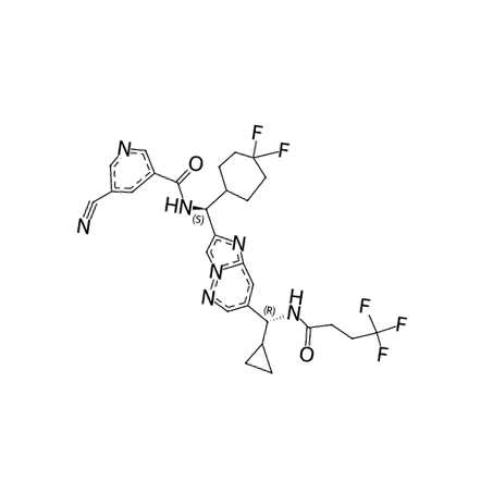 N#Cc1cncc(C(=O)N[C@H](c2cn3ncc([C@H](NC(=O)CCC(F)(F)F)C4CC4)cc3n2)C2CCC(F)(F)CC2)c1